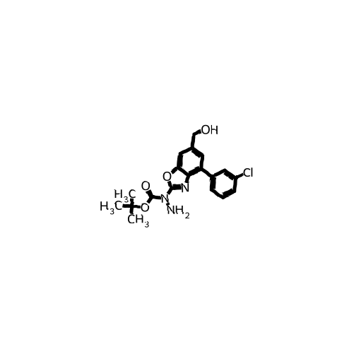 CC(C)(C)OC(=O)N(N)c1nc2c(-c3cccc(Cl)c3)cc(CO)cc2o1